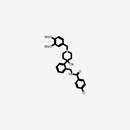 COc1ccc(CN2CCC(C#N)(c3ccccc3CNC(=O)c3ccc(Cl)cc3)CC2)cc1OC